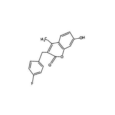 Cc1c(Cc2ccc(F)cc2)c(=O)oc2cc(O)ccc12